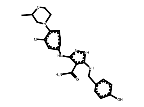 CC1CN(c2ccc(Nc3n[nH]c(NCc4ccc(O)cc4)c3C(N)=O)cc2Cl)CCO1